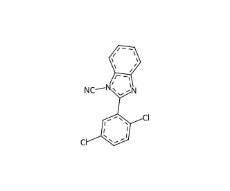 N#Cn1c(-c2cc(Cl)ccc2Cl)nc2ccccc21